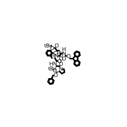 Cc1ccccc1C[C@H](NC(=O)[C@H](CCC(=O)OC(C)(C)C)NC(=O)OCC1c2ccccc2-c2ccccc21)C(=O)N[C@H](C(=O)N1CCC[C@H]1C(=O)OCc1ccccc1)C(C)(C)C